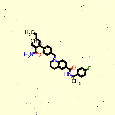 C=CC/C=C(\C(=C/C)C(N)=O)c1ccc(CN2CCCc3cc(C(=O)N[C@@H](C)c4ccc(F)cc4)ccc32)cc1